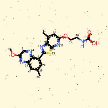 COc1cnc2c(-c3nc4c(C)cc(OCCNC(=O)O)nc4s3)cc(C)cc2n1